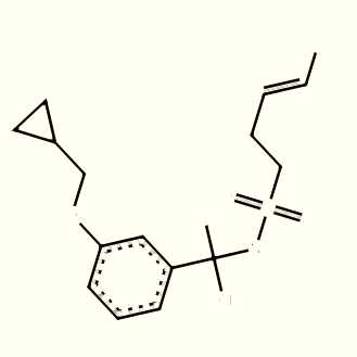 C/C=C/CCS(=O)(=O)NC(C)(C)c1cccc(OCC2CC2)c1